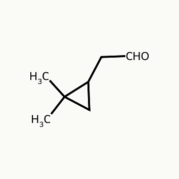 CC1(C)CC1CC=O